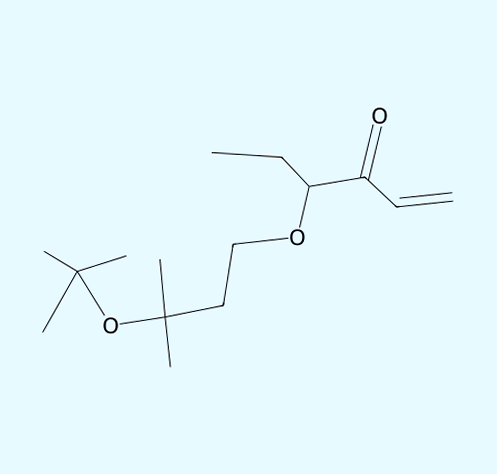 C=CC(=O)C(CC)OCCC(C)(C)OC(C)(C)C